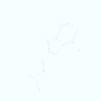 Cc1c(C=N[S+]([O-])C(C)(C)C)oc2c(F)ccc(F)c12